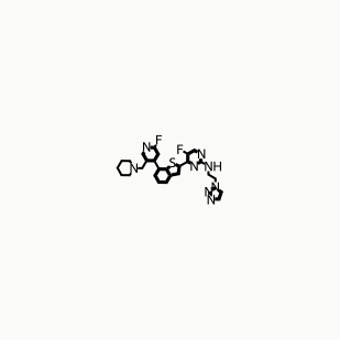 Fc1cc(-c2cccc3cc(-c4nc(NCCn5ccnn5)ncc4F)sc23)c(CN2CCCCC2)cn1